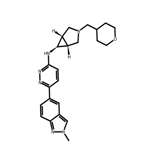 Cn1cc2cc(-c3ccc(N[C@H]4[C@@H]5CN(CC6CCOCC6)C[C@@H]54)nn3)ccc2n1